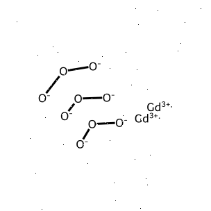 [Gd+3].[Gd+3].[O-]O[O-].[O-]O[O-].[O-]O[O-]